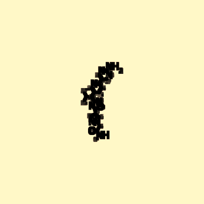 CNC(=O)Cn1cc(-c2nc([C@@H](c3ccc(-c4cnc(N)nc4)nc3)C(C)C)no2)cn1